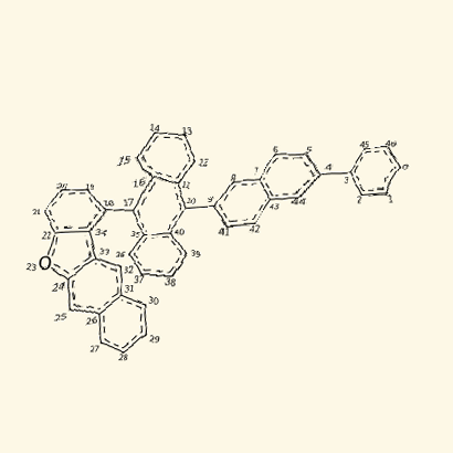 c1ccc(-c2ccc3cc(-c4c5ccccc5c(-c5cccc6oc7cc8ccccc8cc7c56)c5ccccc45)ccc3c2)cc1